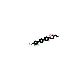 C/C=C/C1CCC(c2ccc(-c3ccc(-c4ccc(CCC)c(F)c4F)cc3)cc2F)OC1